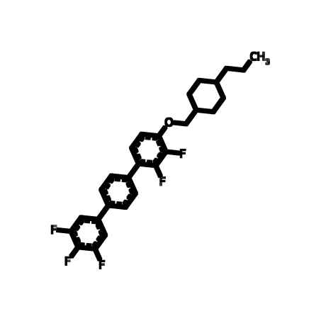 CCCC1CCC(COc2ccc(-c3ccc(-c4cc(F)c(F)c(F)c4)cc3)c(F)c2F)CC1